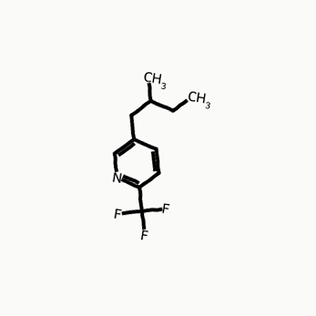 CCC(C)Cc1ccc(C(F)(F)F)nc1